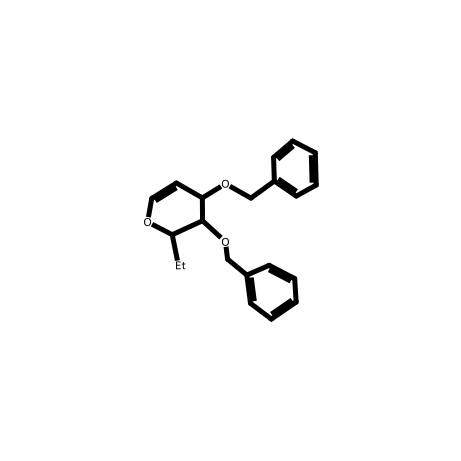 CCC1OC=CC(OCc2ccccc2)C1OCc1ccccc1